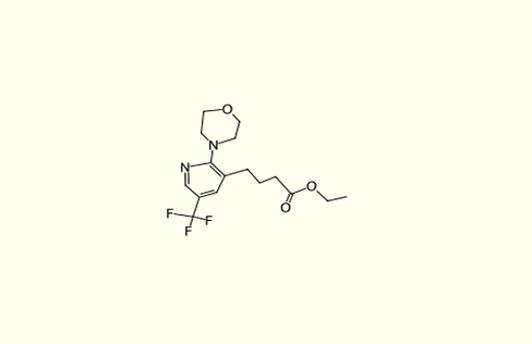 CCOC(=O)CCCc1cc(C(F)(F)F)cnc1N1CCOCC1